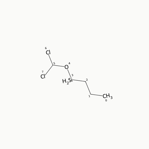 CCC[SiH2]OC(Cl)Cl